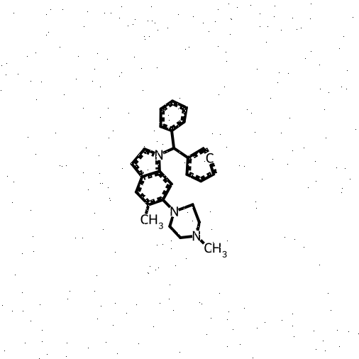 Cc1cc2ccn(C(c3ccccc3)c3ccccc3)c2cc1N1CCN(C)CC1